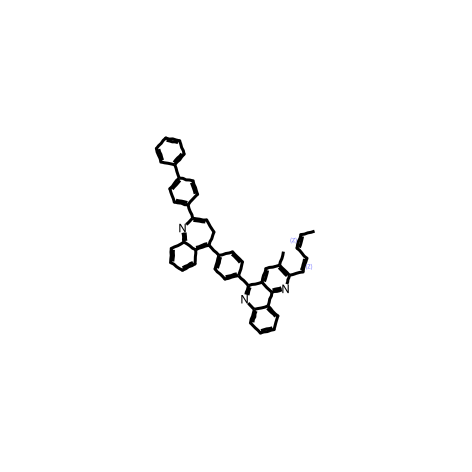 C/C=C\C=C/c1nc2c(cc1C)c(-c1ccc(C3=c4ccccc4=NC(c4ccc(-c5ccccc5)cc4)=CC3)cc1)nc1ccccc12